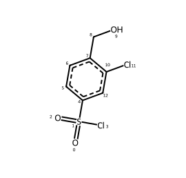 O=S(=O)(Cl)c1ccc(CO)c(Cl)c1